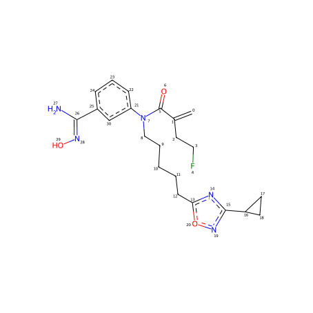 C=C(CCF)C(=O)N(CCCCCc1nc(C2CC2)no1)c1cccc(/C(N)=N/O)c1